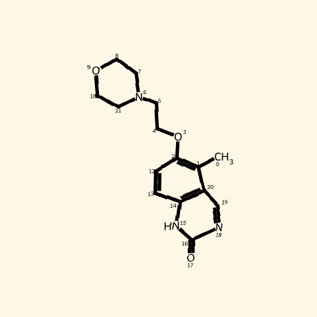 Cc1c(OCCN2CCOCC2)ccc2[nH]c(=O)ncc12